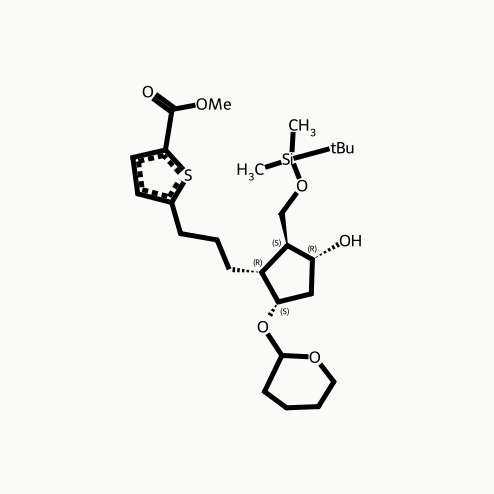 COC(=O)c1ccc(CCC[C@@H]2[C@@H](CO[Si](C)(C)C(C)(C)C)[C@H](O)C[C@@H]2OC2CCCCO2)s1